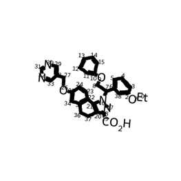 CCOc1cccc(C(COc2ccccc2)n2nc(C(=O)O)c3c2-c2ccc(OCc4cncnc4)cc2CC3)c1